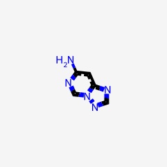 Nc1cc2ncnn2cn1